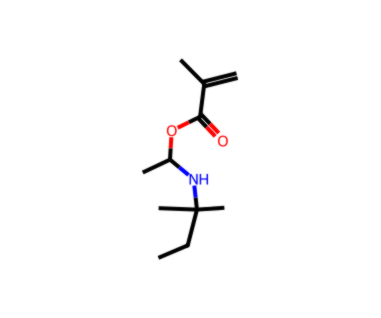 C=C(C)C(=O)OC(C)NC(C)(C)CC